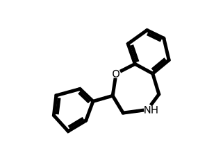 c1ccc(C2CNCc3ccccc3O2)cc1